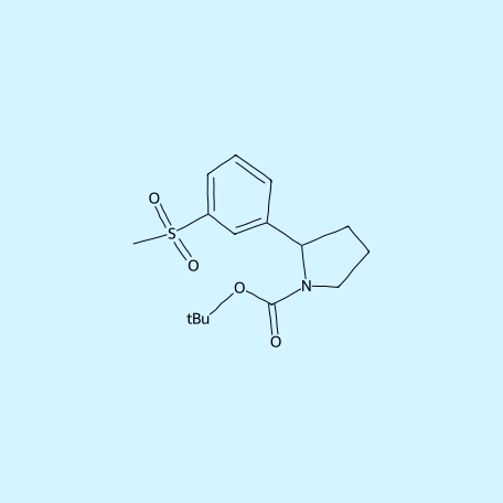 CC(C)(C)OC(=O)N1CCCC1c1cccc(S(C)(=O)=O)c1